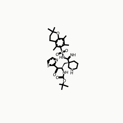 Cc1c(C)c(S(=O)(=O)NC(=N)[C@]2(C[C@@H](NC(=O)OC(C)(C)C)C(=O)c3nccs3)CCCNC2)c(C)c2c1OC(C)(C)CC2